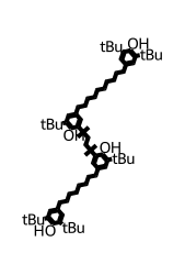 CC(C)(C)c1cc(CCCCCCCCCCc2cc(C(C)(C)C)c(O)c(C(C)(C)CCC(C)(C)c3cc(CCCCCCCCc4cc(C(C)(C)C)c(O)c(C(C)(C)C)c4)cc(C(C)(C)C)c3O)c2)cc(C(C)(C)C)c1O